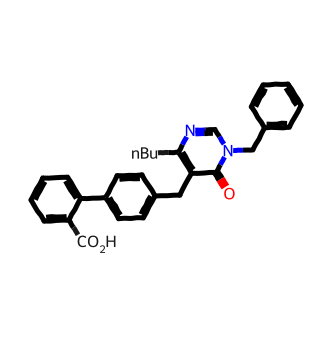 CCCCc1ncn(Cc2ccccc2)c(=O)c1Cc1ccc(-c2ccccc2C(=O)O)cc1